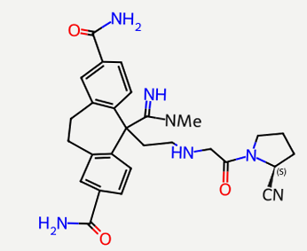 CNC(=N)C1(CCNCC(=O)N2CCC[C@H]2C#N)c2ccc(C(N)=O)cc2CCc2cc(C(N)=O)ccc21